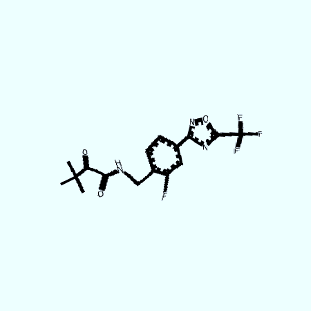 CC(C)(C)C(=O)C(=O)NCc1ccc(-c2noc(C(F)(F)F)n2)cc1F